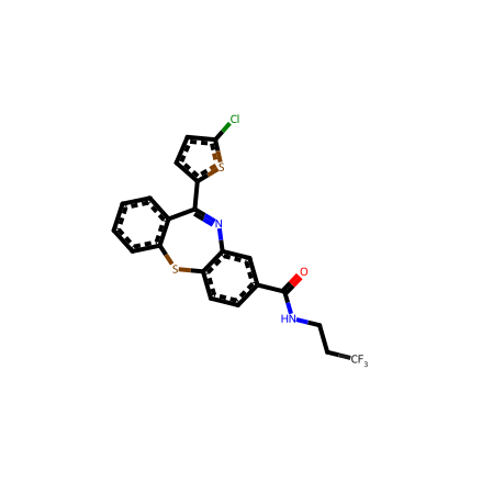 O=C(NCCC(F)(F)F)c1ccc2c(c1)N=C(c1ccc(Cl)s1)c1ccccc1S2